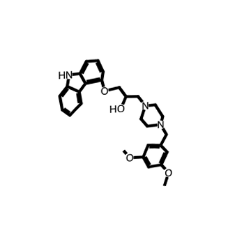 COc1cc(CN2CCN(CC(O)COc3cccc4[nH]c5ccccc5c34)CC2)cc(OC)c1